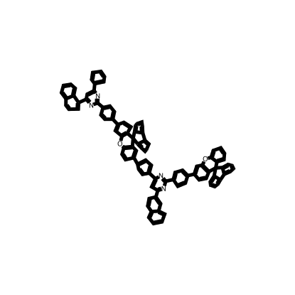 c1ccc(-c2cc(-c3cccc4ccccc34)nc(-c3ccc(-c4ccc5c(c4)Oc4ccc(-c6ccc(-c7cc(-c8ccc9ccccc9c8)nc(-c8ccc(-c9ccc%10c(c9)Oc9ccccc9C%109c%10ccccc%10-c%10ccccc%109)cc8)n7)cc6)cc4C54c5ccccc5-c5ccccc54)cc3)n2)cc1